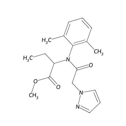 CCC(C(=O)OC)N(C(=O)Cn1cccn1)c1c(C)cccc1C